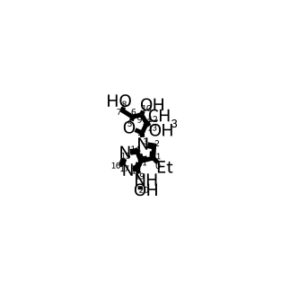 CCc1cn(C2OC(CO)C(O)C2(C)O)c2ncnc(NO)c12